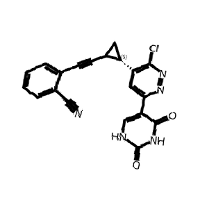 N#Cc1ccccc1C#CC1C[C@@H]1c1cc(-c2c[nH]c(=O)[nH]c2=O)nnc1Cl